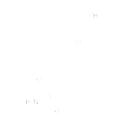 CCOCCCS(N)(=O)=O